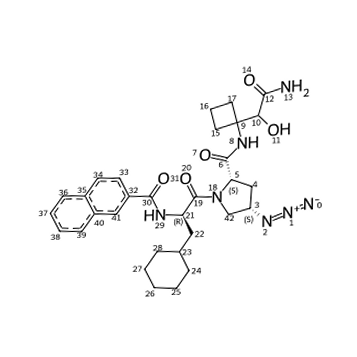 [N-]=[N+]=N[C@H]1C[C@@H](C(=O)NC2(C(O)C(N)=O)CCC2)N(C(=O)[C@@H](CC2CCCCC2)NC(=O)c2ccc3ccccc3c2)C1